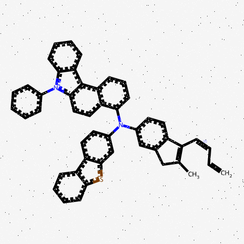 C=C/C=C\C1=C(C)Cc2cc(N(c3ccc4c(c3)sc3ccccc34)c3cccc4c3ccc3c4c4ccccc4n3-c3ccccc3)ccc21